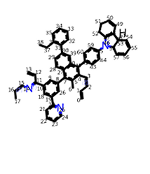 C=C/C=C\c1c(C)c(-c2cc(/C(C=C)=N/C=C\C)cc(-c3ccccn3)c2)c2ccc(-c3ccccc3CC)cc2c1-c1ccc(N2C3=C(C=CCC3)[C@H]3C=CC=CC32)cc1